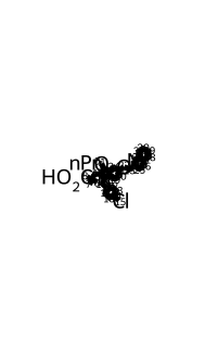 CCCOc1c(CC(C)(C)C(=O)O)n(Cc2ccc(Cl)cc2)c2ccc(OCc3ccc4ccccc4n3)cc12